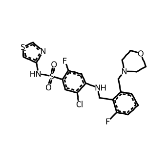 O=S(=O)(Nc1cscn1)c1cc(Cl)c(NCc2c(F)cccc2CN2CCOCC2)cc1F